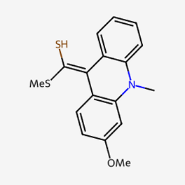 COc1ccc2c(c1)N(C)c1ccccc1/C2=C(\S)SC